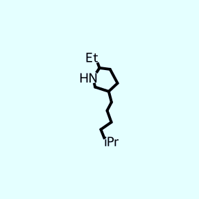 CCC1CCC(CCCCC(C)C)CN1